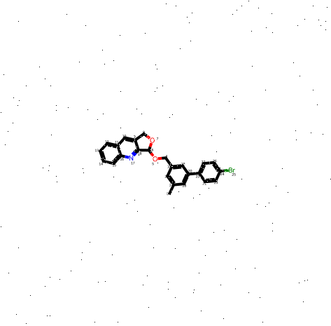 Cc1cc(COC2OCc3cc4ccccc4nc32)cc(-c2ccc(Br)cc2)c1